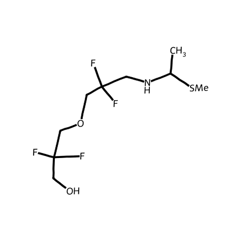 CSC(C)NCC(F)(F)COCC(F)(F)CO